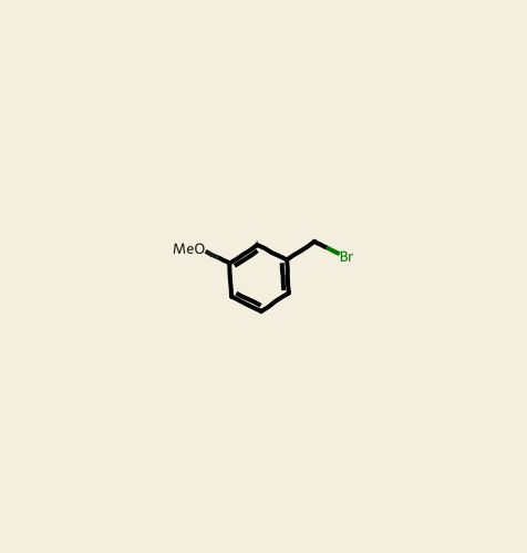 COc1[c]c(CBr)ccc1